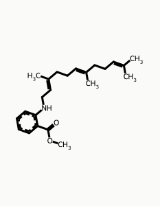 COC(=O)c1ccccc1NC/C=C(\C)CC/C=C(\C)CCC=C(C)C